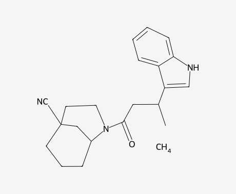 C.CC(CC(=O)N1CCC2(C#N)CCCC1C2)c1c[nH]c2ccccc12